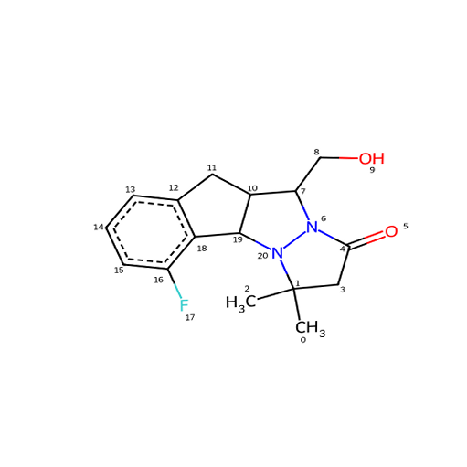 CC1(C)CC(=O)N2C(CO)C3Cc4cccc(F)c4C3N21